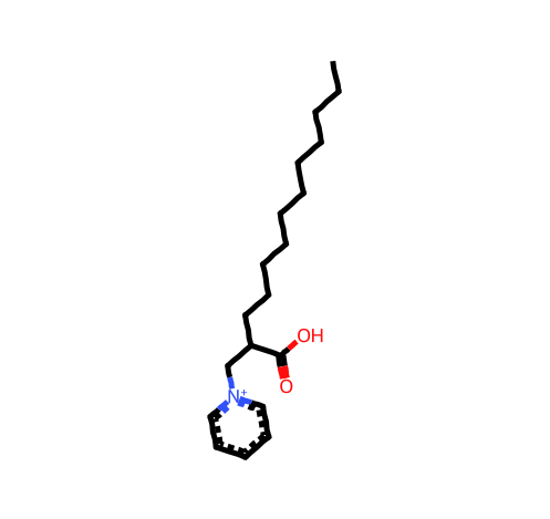 CCCCCCCCCCCC(C[n+]1ccccc1)C(=O)O